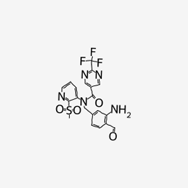 CS(=O)(=O)c1ncccc1N(Cc1ccc(C=O)c(N)c1)C(=O)c1cnc(C(F)(F)F)nc1